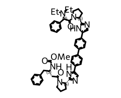 CCN(CC)[C@@H](C(=O)N1CCC[C@H]1c1ncc(-c2ccc(-c3ccc(-c4cnc([C@@H]5CCCN5C(=O)C[C@H](Cc5ccccc5)NC(=O)OC)[nH]4)cc3)cc2)[nH]1)c1ccccc1